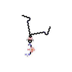 CCCCC/C=C\C/C=C\CCCCCCCCC1(CCCCCCCC/C=C\C/C=C\CCCCC)CC2(C1)O[C@H]1C[C@@H](N(C)CCOP(=O)(O)OCCN)C[C@H]1O2